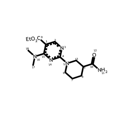 CCOC(=O)c1cnc(N2CCCC(C(N)=O)C2)nc1N(C)C